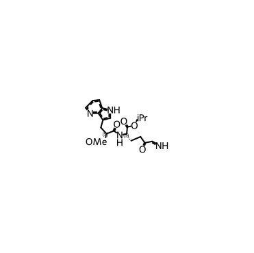 CO[C@@H](Cc1c[nH]c2cccnc12)C(=O)N[C@@H](CCC(=O)C=N)C(=O)OC(C)C